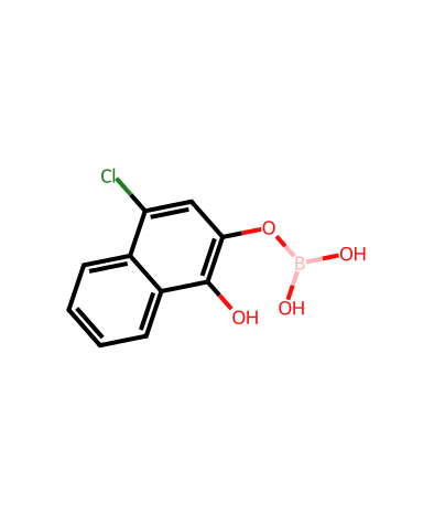 OB(O)Oc1cc(Cl)c2ccccc2c1O